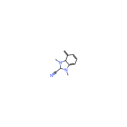 C=C1C=CC=C2C1N(C)C(C#N)N2C